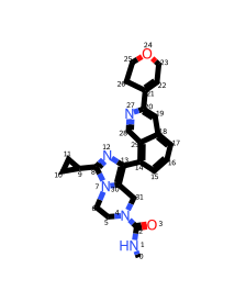 CNC(=O)N1CCn2c(C3CC3)nc(-c3cccc4cc(C5=CCOCC5)ncc34)c2C1